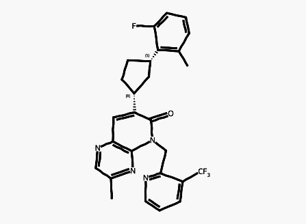 Cc1cnc2cc([C@@H]3CC[C@H](c4c(C)cccc4F)C3)c(=O)n(Cc3ncccc3C(F)(F)F)c2n1